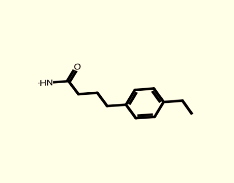 CCc1ccc(CCCC([NH])=O)cc1